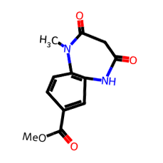 COC(=O)c1ccc2c(c1)NC(=O)CC(=O)N2C